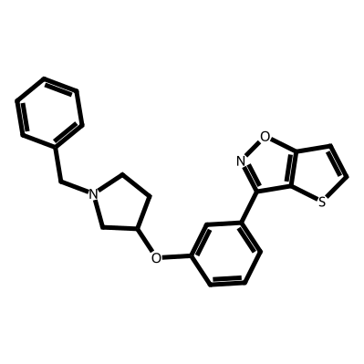 c1ccc(CN2CCC(Oc3cccc(-c4noc5ccsc45)c3)C2)cc1